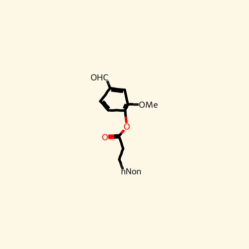 CCCCCCCCCCCC(=O)Oc1ccc(C=O)cc1OC